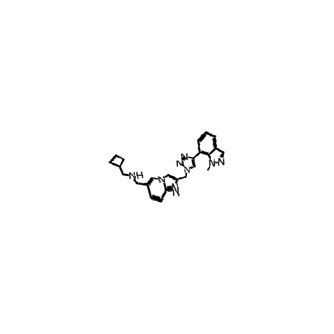 Cn1ncc2cccc(-c3cn(Cc4cn5cc(CNCC6CCC6)ccc5n4)nn3)c21